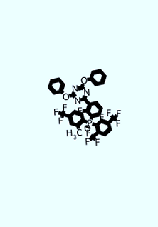 Cc1cc(C(F)(F)F)ccc1P(=O)(c1cc(C(F)(F)F)ccc1C(F)(F)F)c1c(F)ccc(-c2nc(Oc3ccccc3)nc(Oc3ccccc3)n2)c1F